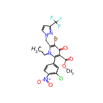 CCn1c(Cn2ccc(C(F)(F)F)n2)c(Br)c(=O)c(C(=O)OC)c1-c1ccc([N+](=O)[O-])c(Cl)c1